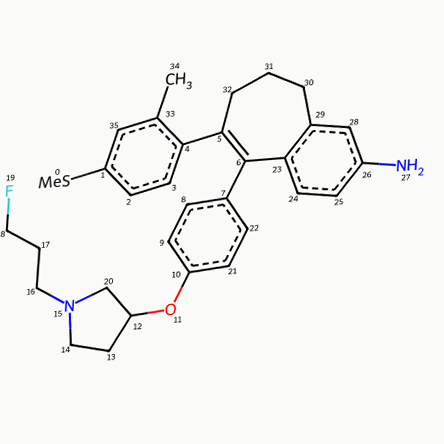 CSc1ccc(C2=C(c3ccc(OC4CCN(CCCF)C4)cc3)c3ccc(N)cc3CCC2)c(C)c1